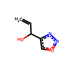 C=CC(O)c1conn1